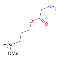 CO[SiH2]CCCOC(=O)CN